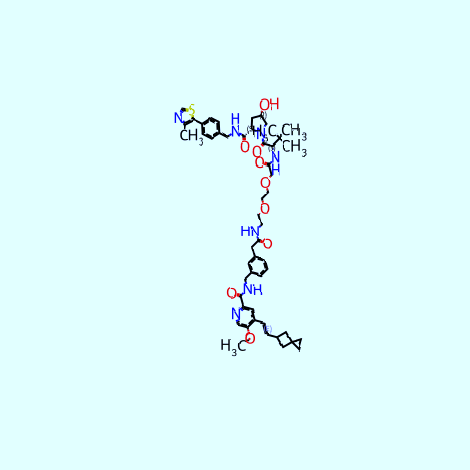 COc1cnc(C(=O)NCc2cccc(CC(=O)NCCOCCOCC(=O)N[C@H](C(=O)N3C[C@H](O)C[C@H]3C(=O)NCc3ccc(-c4scnc4C)cc3)C(C)(C)C)c2)cc1/C=C/C1CC2(CC2)C1